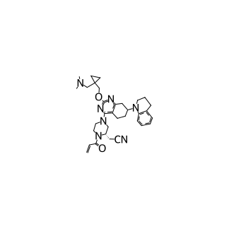 C=CC(=O)N1CCN(c2nc(OCC3(CN(C)C)CC3)nc3c2CCC(N2CCCc4ccccc42)C3)C[C@@H]1CC#N